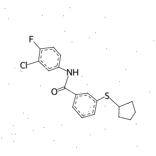 O=C(Nc1ccc(F)c(Cl)c1)c1cccc(SC2CCCC2)c1